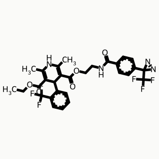 CCOC(=O)C1=C(C)NC(C)=C(C(=O)OCCNC(=O)c2ccc(C3(C(F)(F)F)N=N3)cc2)C1c1ccccc1C(F)(F)F